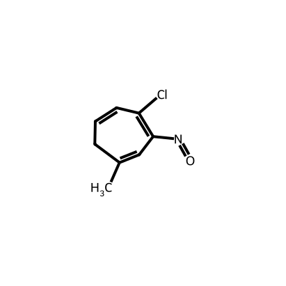 CC1=CC(N=O)=C(Cl)C=CC1